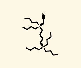 CCCCP(=CCCCP(=CC#N)(CCCC)CCCC)(CCCC)CCCC